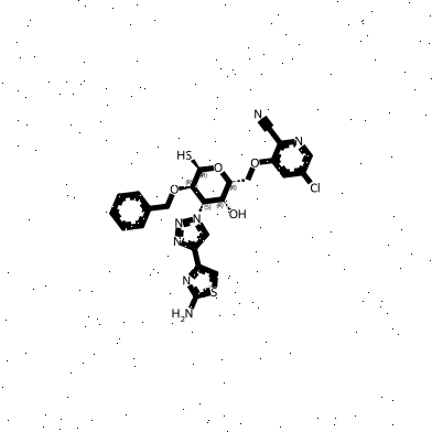 N#Cc1ncc(Cl)cc1OC[C@H]1O[C@H](S)[C@H](OCc2ccccc2)[C@@H](n2cc(-c3csc(N)n3)nn2)[C@H]1O